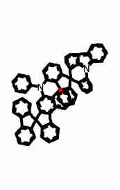 c1ccc(N(c2cccc3c2-c2ccccc2C32c3ccccc3-n3c4ccccc4c4cccc2c43)c2cc3c(c4ccccc24)-c2ccccc2C32c3ccccc3-c3ccccc32)cc1